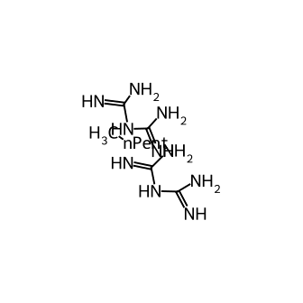 CCCCCC.N=C(N)NC(=N)N.N=C(N)NC(=N)N